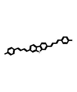 Cc1ccc(/C=C/C=C/c2ccc3c(c2)sc2cc(/C=C/C=C/c4ccc(C)cc4)ccc23)cc1